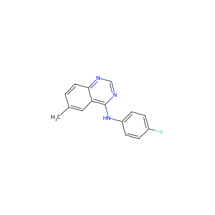 Cc1ccc2ncnc(Nc3ccc(F)cc3)c2c1